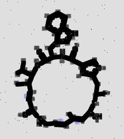 CC1=C\C(O)CC(F)Cc2nc(co2)C(=O)NC(Cc2c[nH]c3ccccc23)C(=O)OC(C(C)C)C(C)/C=C/C(=O)NC\C=C\1